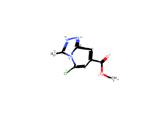 COC(=O)c1cc(Cl)n2c(C)nnc2c1